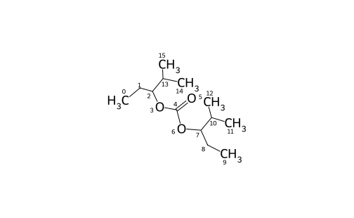 CCC(OC(=O)OC(CC)C(C)C)C(C)C